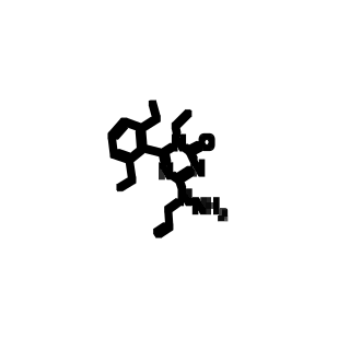 C=CCN(N)c1nc(-c2c(CC)cccc2CC)n(CC)c(=O)n1